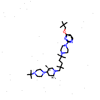 C[C@@H]1CC(N2CCN(C(C)(C)C)CC2)[C@@H](C)CN1CC(C)(C)CCC(C)(C)N1CCN(c2nccc(OCC(C)(C)C)n2)CC1